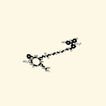 N=C(N)NCCC[C@@H]1NC(=O)[C@H](CCCCNC(=O)CCOCCOCCOCCOCCNC(=O)c2ccc(C(=O)O)c(-c3c4ccc(=O)cc-4oc4cc(O)ccc34)c2)NC(=O)[C@@H](Cc2ccccc2)NC(=O)[C@H](CC(=O)O)NC(=O)CNC1=O